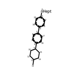 CCCCCCCc1ccc(-c2ccc(C3CCC(C)CC3)cc2)cc1